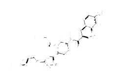 CC(C)(C)OC(=O)N1C[C@@H](NC(=O)c2cnc3cc(Cl)ccc3c2)CC[C@@H]1c1nnc(OC/C=C/C(F)(F)F)o1